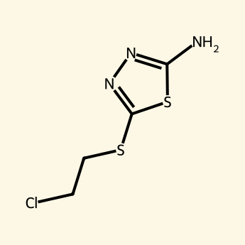 Nc1nnc(SCCCl)s1